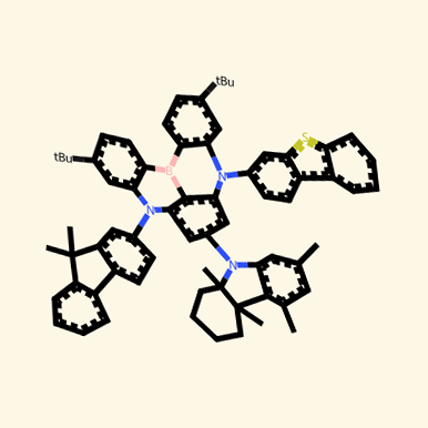 Cc1cc(C)c2c(c1)N(c1cc3c4c(c1)N(c1ccc5c(c1)sc1ccccc15)c1cc(C(C)(C)C)ccc1B4c1ccc(C(C)(C)C)cc1N3c1ccc3c(c1)C(C)(C)c1ccccc1-3)C1(C)CCCCC21C